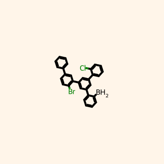 Bc1ccccc1-c1cc(-c2ccccc2Cl)cc(-c2cc(-c3ccccc3)ccc2Br)c1